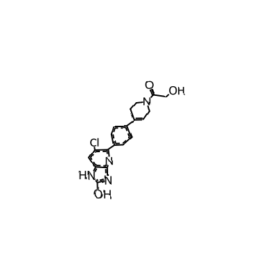 O=C(CO)N1CC=C(c2ccc(-c3nc4nc(O)[nH]c4cc3Cl)cc2)CC1